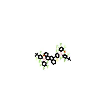 CC(C)(C)c1c(F)c(F)c(B(c2ccc3c(c2)Sc2cccc4c2c-3cc2c3ccccc3c(B(c3c(F)c(F)c(F)c(F)c3F)c3c(F)c(F)c(C(C)(C)C)c(F)c3F)cc42)c2c(F)c(F)c(F)c(F)c2F)c(F)c1F